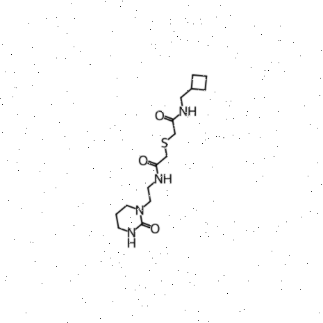 O=C(CSCC(=O)NCC1CCC1)NCCN1CCCNC1=O